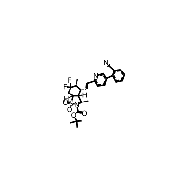 C[C@@H]1[C@H]2[C@@H](/C=C/c3ccc(-c4ccccc4C#N)cn3)[C@H](C)C(F)(F)C[C@H]2S(=O)(=O)N1C(=O)OC(C)(C)C